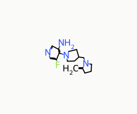 C=C1CCCN1CC1CCN(c2c(N)cncc2F)CC1